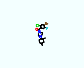 Cc1ccc(N2CCN(C(=O)c3cc(F)c(Br)cc3Cl)CC2)c(C)c1